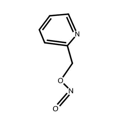 O=NOCc1ccccn1